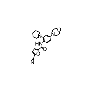 N#Cc1ccc(C(=O)Nc2ccc(N3CCOCC3)cc2N2CCCCC2)o1